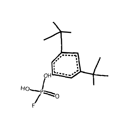 CC(C)(C)c1cccc(C(C)(C)C)c1.O=P(O)(O)F